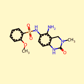 COc1ccccc1S(=O)(=O)Nc1ccc2c(c1N)CN(C)C(=O)N2